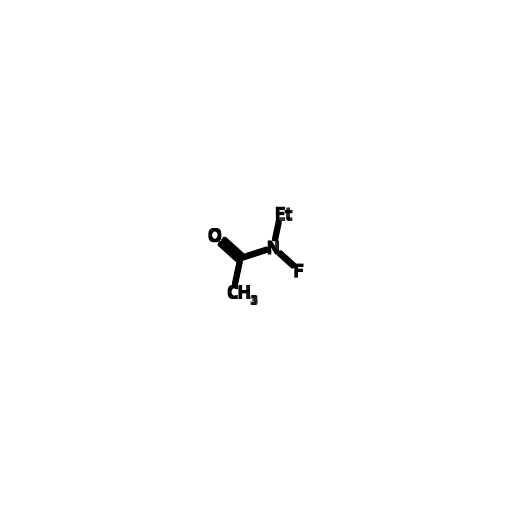 CCN(F)C(C)=O